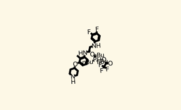 CCCCP(CCCC)CCCC.Cc1c(NC(=O)CNc2ccc(F)c(F)c2)cccc1OC1CCNCC1.O=C(O)C(F)(F)F